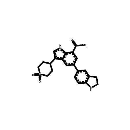 NC(=O)c1cc(-c2ccc3c(c2)CCN3)cc2c(C3CCS(=O)(=O)CC3)c[nH]c12